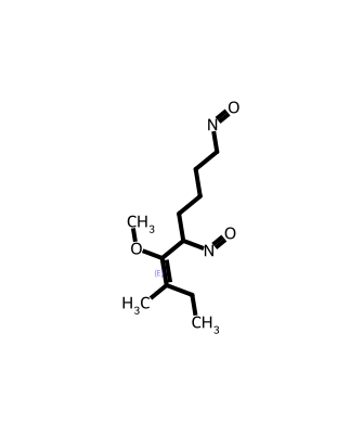 CC/C(C)=C(/OC)C(CCCCN=O)N=O